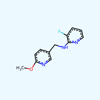 COc1ccc(CNc2ncccc2F)cn1